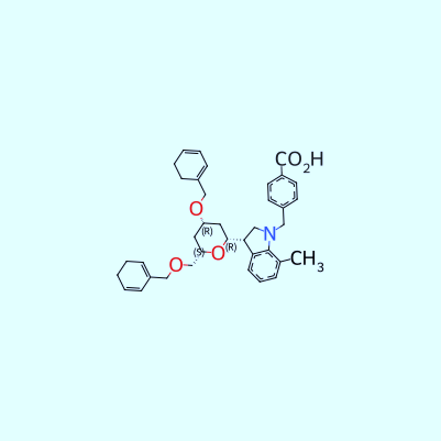 Cc1cccc2c1N(Cc1ccc(C(=O)O)cc1)CC2[C@H]1C[C@@H](OCC2=CC=CCC2)C[C@@H](COCC2=CCCC=C2)O1